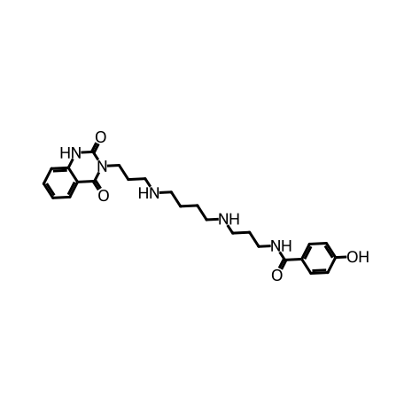 O=C(NCCCNCCCCNCCCn1c(=O)[nH]c2ccccc2c1=O)c1ccc(O)cc1